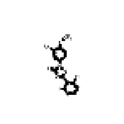 O=c1oc(-c2c(F)cccc2Cl)nn1-c1ccc(OC(F)(F)F)c(C(F)(F)F)c1